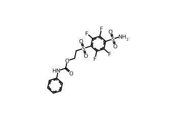 NS(=O)(=O)c1c(F)c(F)c(S(=O)(=O)CCOC(=O)Nc2ccccc2)c(F)c1F